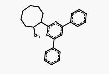 CC1CCCCCCC1c1nc(-c2ccccc2)cc(-c2ccccc2)n1